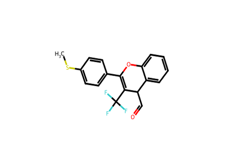 CSc1ccc(C2=C(C(F)(F)F)C(C=O)c3ccccc3O2)cc1